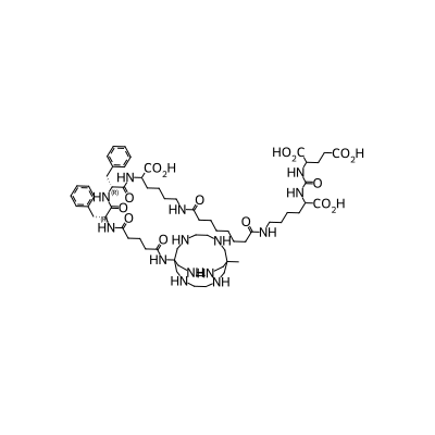 CC12CNCCNCC(NC(=O)CCCC(=O)N[C@H](Cc3ccccc3)C(=O)N[C@H](Cc3ccccc3)C(=O)NC(CCCCNC(=O)CCCCCCC(=O)NCCCCC(NC(=O)NC(CCC(=O)O)C(=O)O)C(=O)O)C(=O)O)(CNCCNC1)CNCCNC2